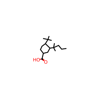 CCCC(C)(C)C1CC(C(=O)O)CCC1C(C)(C)C